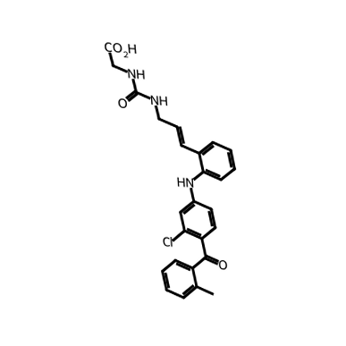 Cc1ccccc1C(=O)c1ccc(Nc2ccccc2C=CCNC(=O)NCC(=O)O)cc1Cl